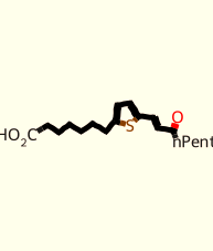 CCCCCC(=O)C=Cc1ccc(CCCCCCC(=O)O)s1